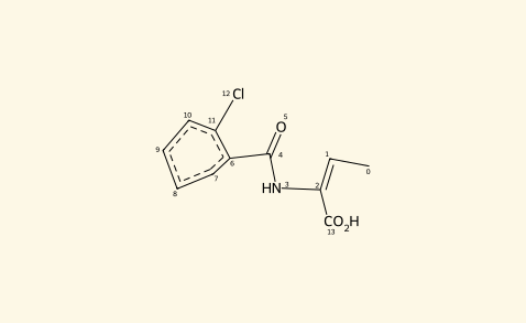 CC=C(NC(=O)c1ccccc1Cl)C(=O)O